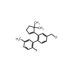 Cc1cc(-c2ccc(CCl)cc2C2=CCCC2(C)C)c(F)cn1